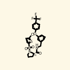 O=C(NCc1cccc(Oc2ccc(C(F)(F)F)cc2)c1)[C@@H]1CCCN1S(=O)(=O)c1ccc(Cl)s1